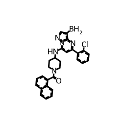 Bc1cnn2c(NC3CCN(C(=O)c4cccc5ccccc45)CC3)cc(-c3ccccc3Cl)nc12